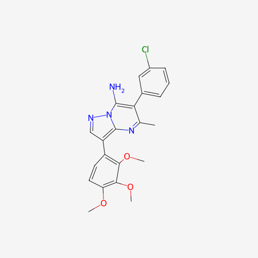 COc1ccc(-c2cnn3c(N)c(-c4cccc(Cl)c4)c(C)nc23)c(OC)c1OC